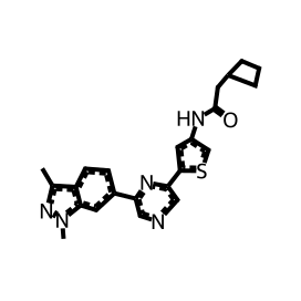 Cc1nn(C)c2cc(-c3cncc(-c4cc(NC(=O)CC5CCC5)cs4)n3)ccc12